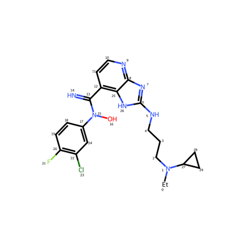 CCN(CCCNc1nc2nccc(C(=N)N(O)c3ccc(F)c(Cl)c3)c2[nH]1)C1CC1